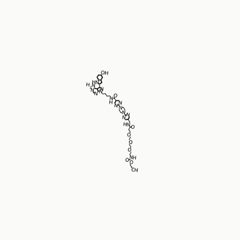 C#CCOC(=O)NCCOCCOCCOCCC(=O)NCc1cnc(N2CCN(c3ncc(C(=O)NCCCCn4nc(-c5cc6cc(O)ccc6[nH]5)c5c(N)ncnc54)cn3)CC2)nc1